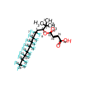 CC(C)(C)C(CC(F)(F)C(F)(F)C(F)(F)C(F)(F)C(F)(F)C(F)(F)C(F)(F)C(F)(F)F)OC(=O)C=CC(=O)O